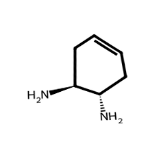 N[C@H]1CC=CC[C@@H]1N